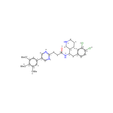 COc1cc(-c2cnc(CCC(=O)NC(Cc3ccc(Cl)c(Cl)c3)C3CCCNC3)nc2)cc(OC)c1OC